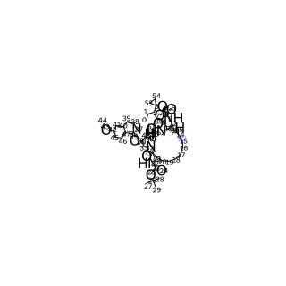 CCCC1(OS(=O)(=O)NC(=O)[C@@]23C[C@H]2/C=C\CCCCC[C@H](NC(=O)OC(C)(C)C)C(=O)N2C[C@H](Oc4nccc5cc(OC)ccc45)C[C@H]2C(=O)N3)CC1